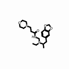 CCN(CNC(=O)CCN1CCOCC1)C(C)Cc1ccc2c(c1)OCO2